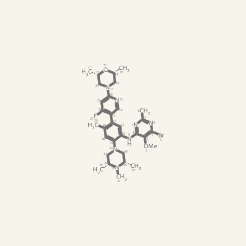 COc1c(Br)nc(C)nc1Nc1cc(-c2cnc(N3C[C@@H](C)O[C@@H](C)C3)cc2F)c(C)cc1N1C[C@@H](C)N(C)[C@@H](C)C1